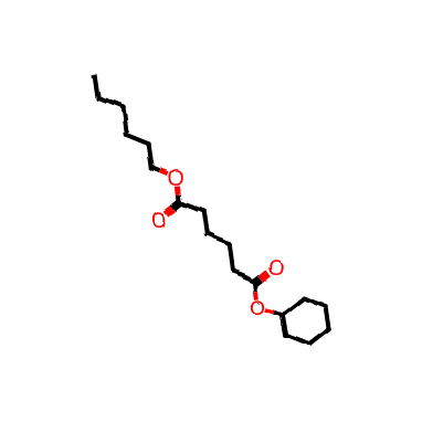 CCCCCCOC(=O)CCCCC(=O)OC1CCCCC1